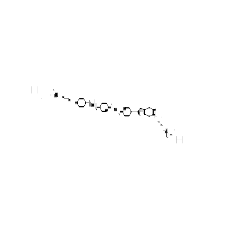 C=CC(=O)OCCOc1ccc(/N=N/c2ccc(NNc3ccc(-c4cc5cc(F)c(OCCOC(=O)C=C)cc5s4)cc3)cc2)cc1